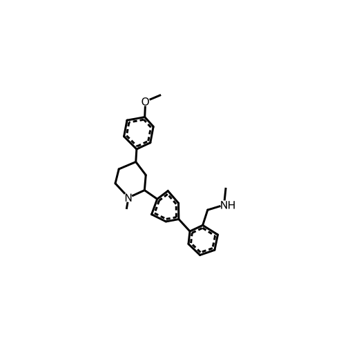 CNCc1ccccc1-c1ccc(C2CC(c3ccc(OC)cc3)CCN2C)cc1